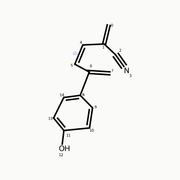 C=C(C#N)/C=C\C(=C)c1ccc(O)cc1